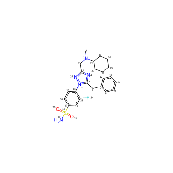 CN(Cc1nc(Cc2ccccc2)n(-c2ccc(S(N)(=O)=O)cc2F)n1)C1CCCCC1